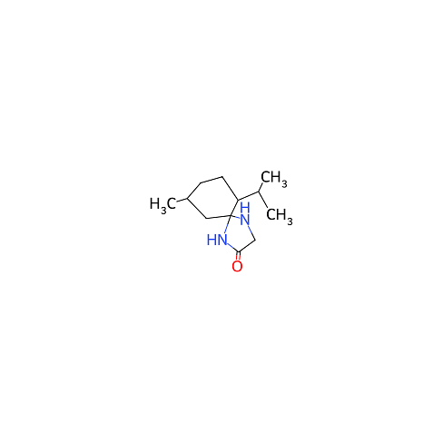 CC1CCC(C(C)C)C2(C1)NCC(=O)N2